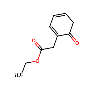 CCOC(=O)CC1=CC=CCC1=O